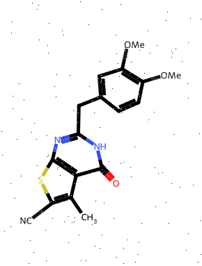 COc1ccc(Cc2nc3sc(C#N)c(C)c3c(=O)[nH]2)cc1OC